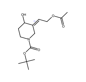 CC(=O)OC/C=C1\CN(C(=O)OC(C)(C)C)CCC1O